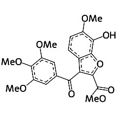 COC(=O)c1oc2c(O)c(OC)ccc2c1C(=O)c1cc(OC)c(OC)c(OC)c1